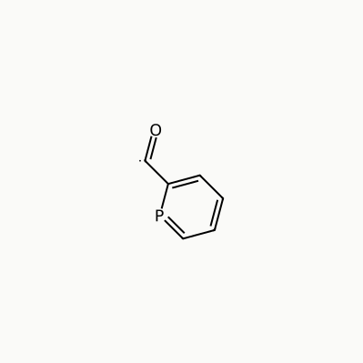 O=[C]c1ccccp1